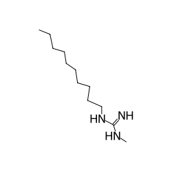 CCCCCCCCCCNC(=N)NC